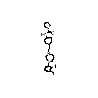 O=C(N[C@H]1CC[C@H](CCN2CCCN(c3cccc(Cl)c3Cl)CC2)CC1)N1CCCC1